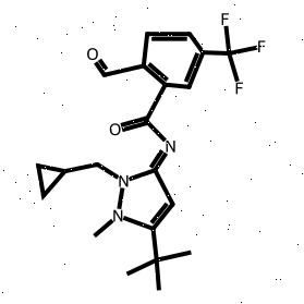 Cn1c(C(C)(C)C)cc(=NC(=O)c2cc(C(F)(F)F)ccc2C=O)n1CC1CC1